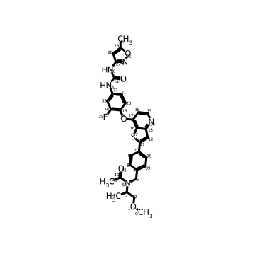 COCC(C)N(Cc1ccc(-c2cc3nccc(Oc4ccc(NC(=O)Nc5cc(C)on5)cc4F)c3s2)cc1)C(C)=O